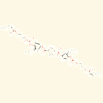 C=CC(=O)OCCCCOC(=O)Oc1ccc(OC(=O)[C@H]2CC[C@H](C(=O)Oc3ccc(OC(=O)OCCCCOC(=O)C=C)c(C)c3)CC2)cc1C